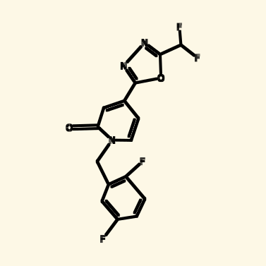 O=c1cc(-c2nnc(C(F)F)o2)ccn1Cc1cc(F)ccc1F